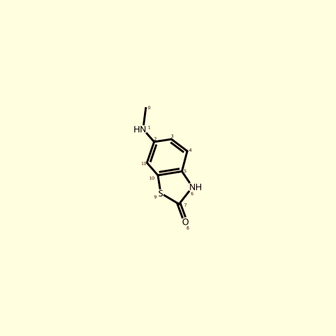 CNc1ccc2[nH]c(=O)sc2c1